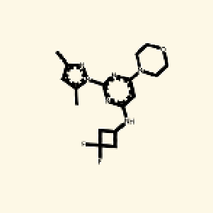 Cc1cc(C)n(-c2nc(NC3CC(F)(F)C3)cc(N3CCOCC3)n2)n1